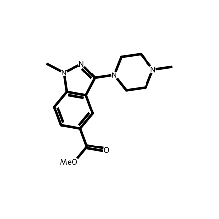 COC(=O)c1ccc2c(c1)c(N1CCN(C)CC1)nn2C